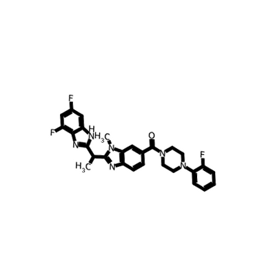 CC(c1nc2c(F)cc(F)cc2[nH]1)c1nc2ccc(C(=O)N3CCN(c4ccccc4F)CC3)cc2n1C